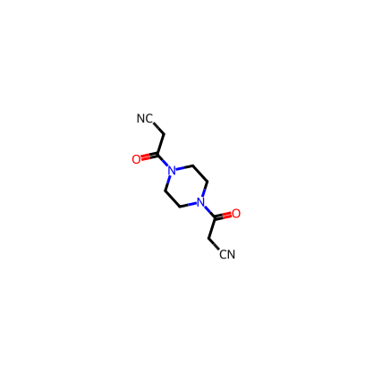 N#CCC(=O)N1CCN(C(=O)CC#N)CC1